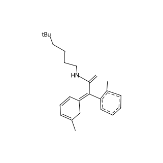 C=C(NCCCCC(C)(C)C)/C(=C1\C=CC=C(C)C1)c1ccccc1C